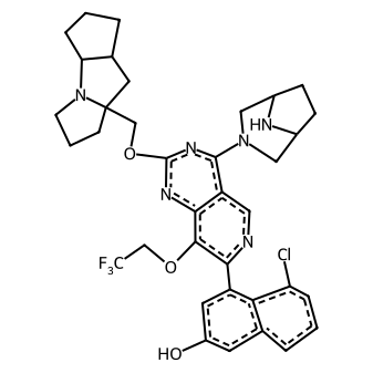 Oc1cc(-c2ncc3c(N4CC5CCC(C4)N5)nc(OCC45CCCN4C4CCCC4C5)nc3c2OCC(F)(F)F)c2c(Cl)cccc2c1